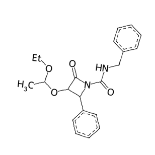 CCOC(C)OC1C(=O)N(C(=O)NCc2ccccc2)C1c1ccccc1